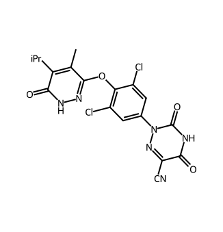 Cc1c(Oc2c(Cl)cc(-n3nc(C#N)c(=O)[nH]c3=O)cc2Cl)n[nH]c(=O)c1C(C)C